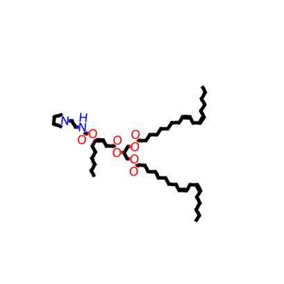 CCCCC/C=C\C/C=C\CCCCCCCC(=O)OCC(COC(=O)CCCCCCC/C=C\C/C=C\CCCCC)OC(=O)C/C=C(\CCCCCC)OC(=O)NCCN1CCCC1